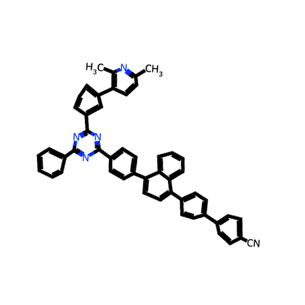 Cc1ccc(-c2cccc(-c3nc(-c4ccccc4)nc(-c4ccc(-c5ccc(-c6ccc(-c7ccc(C#N)cc7)cc6)c6ccccc56)cc4)n3)c2)c(C)n1